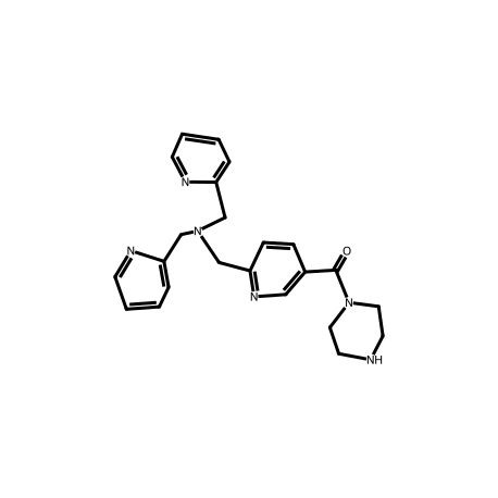 O=C(c1ccc(CN(Cc2ccccn2)Cc2ccccn2)nc1)N1CCNCC1